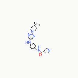 CN1CCC(C(=O)NCc2ccc(Nc3cnc(N4CCC(C(F)(F)F)CC4)nc3)cc2)CC1